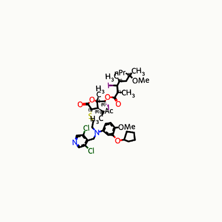 CCC[C@](C)(C[C@@H](C)C(I)[C@@H](C)C(=O)O[C@H](I)[C@@]1(C)OC(=O)[C@@H](SCCN(Cc2c(Cl)cncc2Cl)c2ccc(OC)c(OC3CCCC3)c2)[C@@H]1[C@@H](C)C(C)=O)OC